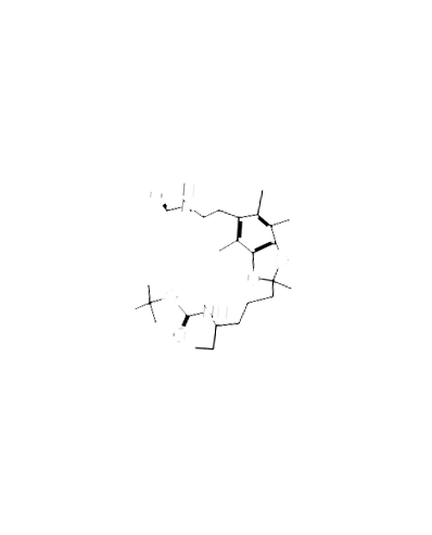 CCC(CCCC1(C)Oc2c(C)c(C)c(CCNC=O)c(C)c2O1)NC(=O)OC(C)(C)C